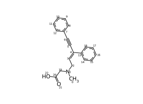 CN(C/C=C(/C#Cc1ccccc1)c1ccccc1)CC(=O)O